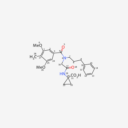 COc1cc(C(=O)N(CCCc2ccccc2)CC(=O)NC2(C(=O)O)CC2)cc(OC)c1C